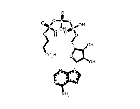 Nc1ncnc2c1ncn2[C@@H]1O[C@H](COP(=O)(O)OP(=O)(O)OP(=O)(O)OCCC(=O)O)[C@@H](O)[C@H]1O